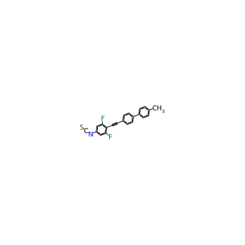 Cc1ccc(-c2ccc(C#Cc3c(F)cc(N=C=S)cc3F)cc2)cc1